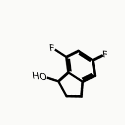 OC1CCc2cc(F)cc(F)c21